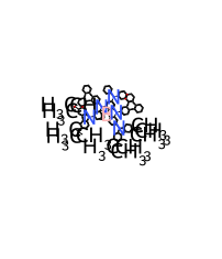 CC(C)(C)c1ccc2c(c1)c1cc(C(C)(C)C)ccc1n2-c1ccc2c(c1)N(c1ccc3c4ccccc4c4ccccc4c3c1)c1cc(N(c3ccccc3)c3ccccc3)cc3c1B2c1ccc(-n2c4ccc(C(C)(C)C)cc4c4cc(C(C)(C)C)ccc42)cc1N3c1ccc2c3ccccc3c3ccccc3c2c1